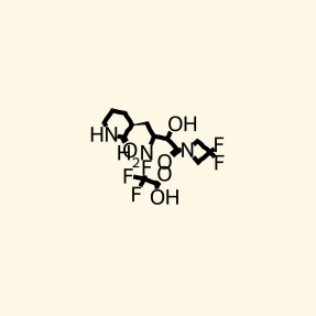 NC(C[C@@H]1CCCNC1=O)C(O)C(=O)N1CC(F)(F)C1.O=C(O)C(F)(F)F